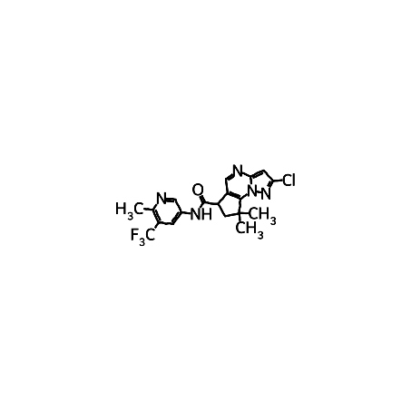 Cc1ncc(NC(=O)C2CC(C)(C)c3c2cnc2cc(Cl)nn32)cc1C(F)(F)F